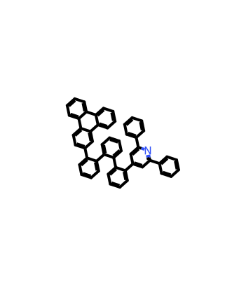 c1ccc(-c2cc(-c3ccccc3-c3ccccc3-c3ccccc3-c3ccc4c5ccccc5c5ccccc5c4c3)cc(-c3ccccc3)n2)cc1